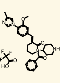 COc1cc(/C=C2\CCC[N+](C(=O)c3ccccc3)(C3CCNCC3)C2=O)ccc1-n1cnc(C)c1.O=C(O)C(F)(F)F